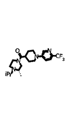 CC(C)N1CCN(C(=O)C2CCN(c3ccc(C(F)(F)F)nc3)CC2)C[C@@H]1C